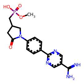 COP(=O)(O)CC1CC(=O)N(c2ccc(-c3ncc(C(=N)N)cn3)cc2)C1